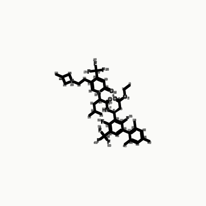 CCOC(=O)C[C@H](NC(=O)C(CC(C)C)n1cc(CCN2CC(C)C2)c(C(F)(F)F)cc1=O)c1c(F)c(-c2c(C)cc(C)cc2C)cc(C(F)(F)F)c1F